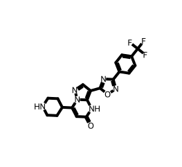 O=c1cc(C2CCNCC2)n2ncc(-c3nc(-c4ccc(C(F)(F)F)cc4)no3)c2[nH]1